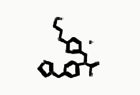 CCCCCCCCCCCCOc1ccc(CN(C(=O)CC)c2ccc(C[n+]3ccsc3)cc2)cc1.[Br-]